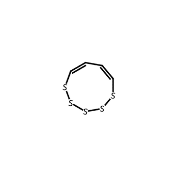 c1ccsssssc1